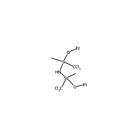 CCO[Si](C)(N[Si](C)(OCC)C(Cl)(Cl)Cl)C(Cl)(Cl)Cl